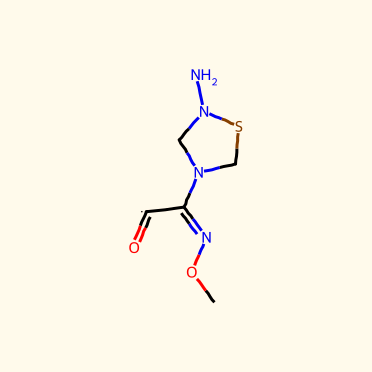 CON=C([C]=O)N1CSN(N)C1